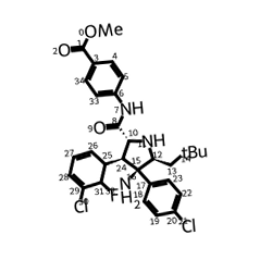 COC(=O)c1ccc(NC(=O)[C@@H]2N[C@@H](CC(C)(C)C)[C@](N)(c3ccc(Cl)cc3)[C@H]2C2C=CC=C(Cl)C2F)cc1